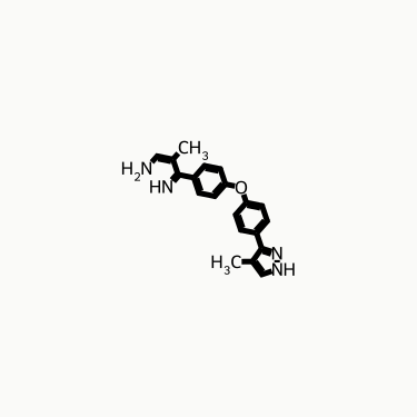 C/C(=C/N)C(=N)c1ccc(Oc2ccc(-c3n[nH]cc3C)cc2)cc1